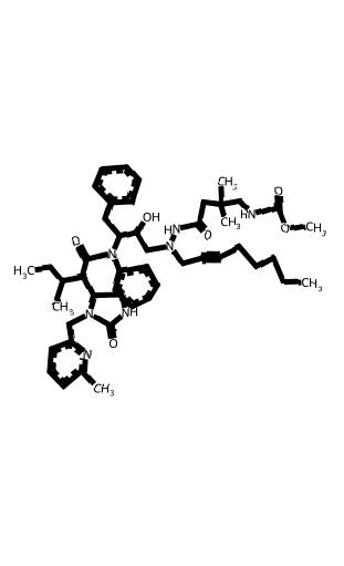 CCCCCC#CCN(CC(O)C(Cc1ccccc1)N(C(=O)C(C(C)CC)C1CNC(=O)N1Cc1cccc(C)n1)c1ccccc1)NC(=O)CC(C)(C)CNC(=O)OC